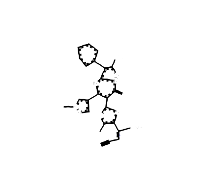 C#C/C=C(/OC)c1nc(-c2c(-c3cnn(C)c3)[nH]c3c(-c4ccccc4)c(C(F)(F)F)nn3c2=O)oc1C